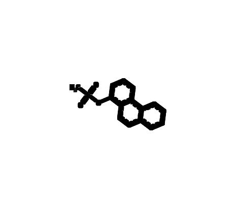 CS(=O)(=O)Oc1cccc2c1ccc1ccccc12